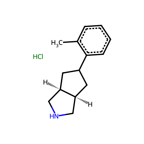 Cc1ccccc1C1C[C@H]2CNC[C@H]2C1.Cl